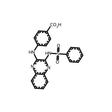 O=C(O)c1ccc(Nc2nc3ccccc3nc2NS(=O)(=O)c2ccccc2)cc1